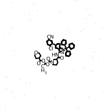 CC(OC(=O)C1CCOCC1)OC(=O)N1CCCC(C(=O)Nc2nn(C(c3ccccc3)(c3ccccc3)c3ccccc3)c3ccc(-c4cc(C#N)ccc4Cl)cc23)C1